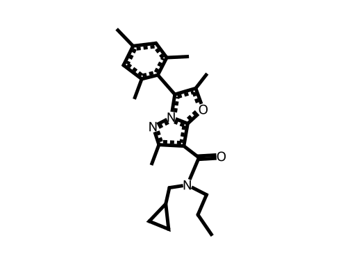 CCCN(CC1CC1)C(=O)c1c(C)nn2c(-c3c(C)cc(C)cc3C)c(C)oc12